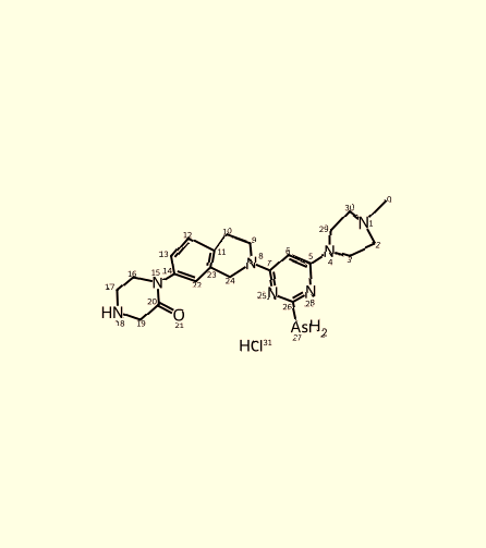 CN1CCN(c2cc(N3CCc4ccc(N5CCNCC5=O)cc4C3)nc([AsH2])n2)CC1.Cl